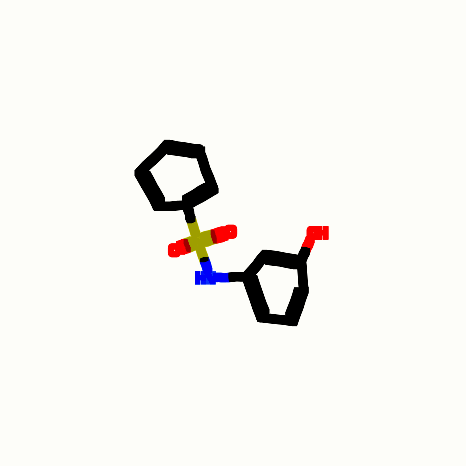 O=S(=O)(Nc1cccc(O)c1)c1c[c]ccc1